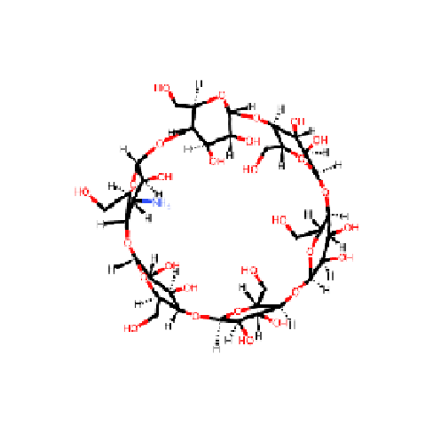 N[C@H]1[C@H](O)[C@H]2O[C@H]3[C@H](O)[C@@H](O)[C@@H](O[C@H]4[C@H](O)[C@@H](O)[C@@H](O[C@H]5[C@H](O)[C@@H](O)[C@@H](O[C@H]6[C@H](O)[C@@H](O)[C@@H](O[C@H]7[C@H](O)[C@@H](O)[C@@H](O[C@@H]1[C@@H](CO)O2)O[C@@H]7CO)O[C@@H]6CO)O[C@@H]5CO)O[C@@H]4CO)O[C@@H]3CO